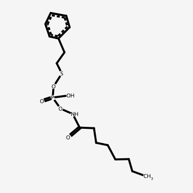 CCCCCCCC(=O)NOP(=O)(O)OSCCc1ccccc1